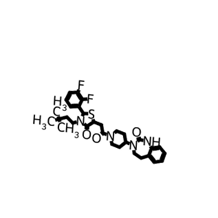 CC(C)(C)CCN1C(=O)C(CC(=O)N2CCC(N3CCc4ccccc4NC3=O)CC2)SC1c1cccc(F)c1F